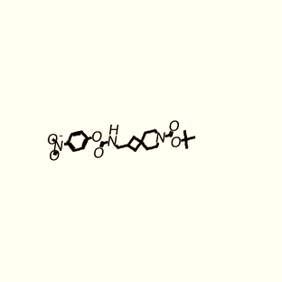 CC(C)(C)OC(=O)N1CCC2(CC1)CC(CNC(=O)Oc1ccc([N+](=O)[O-])cc1)C2